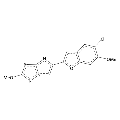 COc1nn2cc(-c3cc4cc(Cl)c(OC)cc4o3)nc2s1